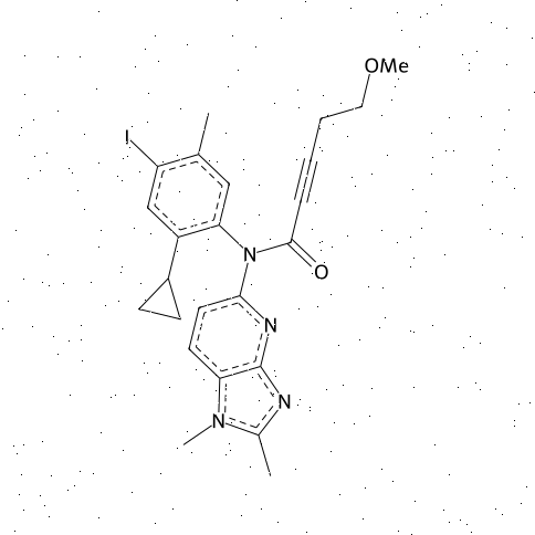 COCCC#CC(=O)N(c1ccc2c(n1)nc(C)n2C)c1cc(C)c(I)cc1C1CC1